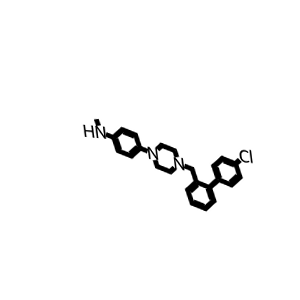 CNc1ccc(N2CCN(Cc3ccccc3-c3ccc(Cl)cc3)CC2)cc1